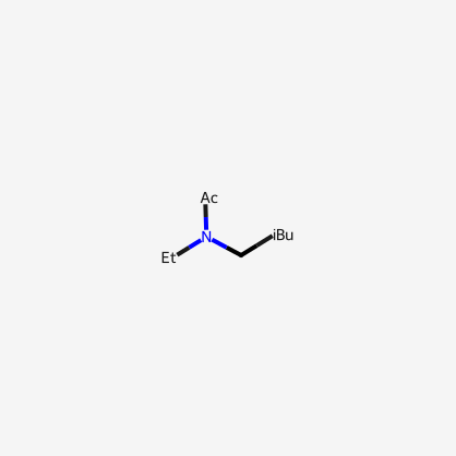 CCC(C)CN(CC)C(C)=O